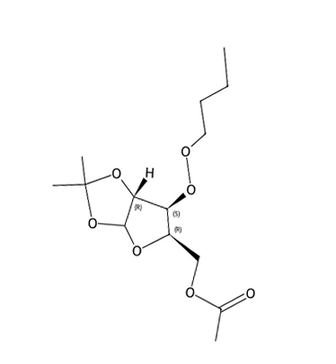 CCCCOO[C@H]1[C@@H](COC(C)=O)OC2OC(C)(C)O[C@@H]21